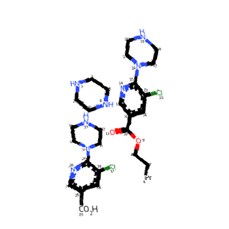 C1CNCCN1.CC(C)CCOC(=O)c1cnc(N2CCNCC2)c(Cl)c1.O=C(O)c1cnc(N2CCNCC2)c(Cl)c1